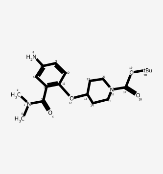 CN(C)C(=O)c1cc(N)ccc1OC1CCN(C(=O)OC(C)(C)C)CC1